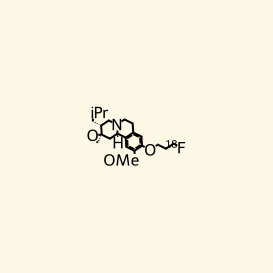 COc1cc2c(cc1OCCC[18F])CCN1C[C@@H](CC(C)C)[C@@]3(CO3)C[C@H]21